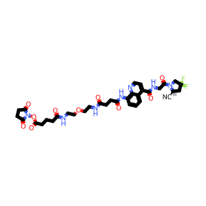 N#C[C@@H]1CC(F)(F)CN1C(=O)CNC(=O)c1ccnc2c(NC(=O)CCC(=O)NCCOCCNC(=O)CCCC(=O)ON3C(=O)CCC3=O)cccc12